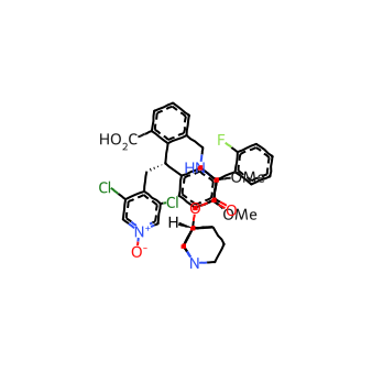 COc1ccc([C@H](Cc2c(Cl)c[n+]([O-])cc2Cl)c2c(CNC(C(=O)O[C@H]3CN4CCC3CC4)c3ccccc3F)cccc2C(=O)O)cc1OC